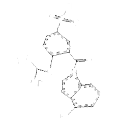 CC(Oc1ccc(S(C)(=O)=O)cc1C(=O)n1ccc2c(Br)cccc21)C(F)(F)F